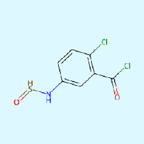 O=[SH]Nc1ccc(Cl)c(C(=O)Cl)c1